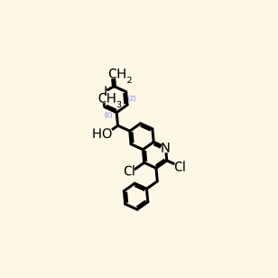 C=C(I)/C=C\C(=C/C)C(O)c1ccc2nc(Cl)c(Cc3ccccc3)c(Cl)c2c1